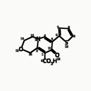 O=C(O)c1c2n(cc(-c3cccs3)c1=O)CCOC2